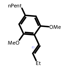 CC/C=C/c1c(OC)cc(CCCCC)cc1OC